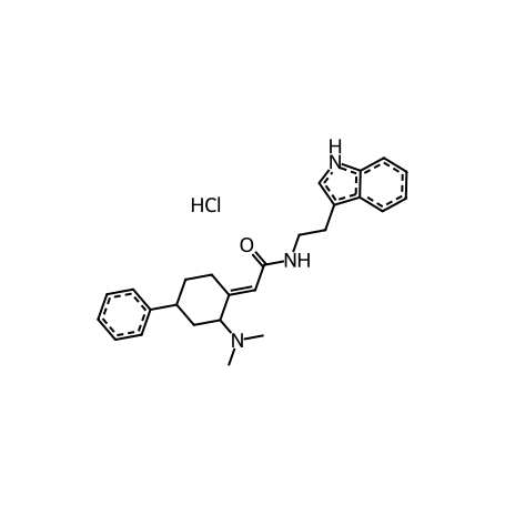 CN(C)C1CC(c2ccccc2)CCC1=CC(=O)NCCc1c[nH]c2ccccc12.Cl